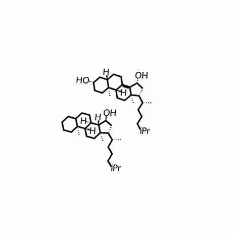 CC(C)CCC[C@@H](C)[C@H]1C[C@@H](O)C2=C3CC[C@H]4C[C@@H](O)CC[C@]4(C)[C@H]3CC[C@@]21C.CC(C)CCC[C@@H](C)[C@H]1C[C@H](O)[C@H]2[C@@H]3CCC4CCCC[C@]4(C)[C@H]3CC[C@@]21C